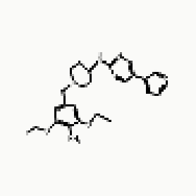 CCOc1cc(CN2CCC(Nc3ncc(-c4cccnc4)cn3)CC2)cc(OCC)c1N